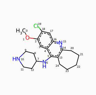 COc1cc2c(NC3CCNCC3)c3c(nc2cc1Cl)CCCCC3